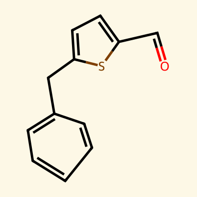 O=Cc1ccc(Cc2ccccc2)s1